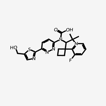 CC(C)(C)C(N(C(=O)O)c1ccc(-c2ncc(CO)s2)nn1)C1(c2ncccc2F)CCC1